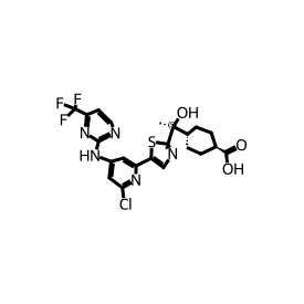 C[C@@](O)(c1ncc(-c2cc(Nc3nccc(C(F)(F)F)n3)cc(Cl)n2)s1)[C@H]1CC[C@H](C(=O)O)CC1